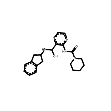 O=C(Nc1nccnc1C(O)NC1Cc2ccccc2C1)N1CCCCC1